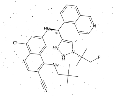 CC(C)(C)CNc1c(C#N)cnc2c(Cl)cc(N[C@H](C3=CN(C(C)(C)CF)NN3)c3cccc4cnccc34)cc12